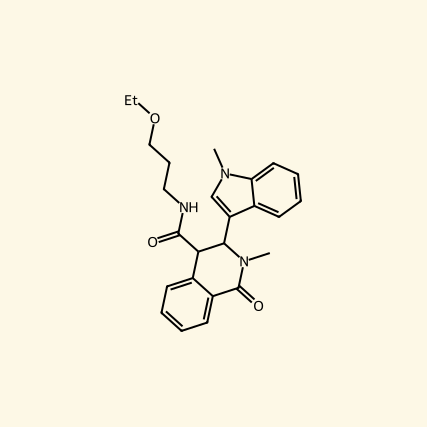 CCOCCCNC(=O)C1c2ccccc2C(=O)N(C)C1c1cn(C)c2ccccc12